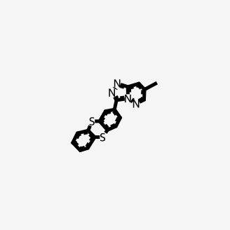 Cc1cnn2c(-c3ccc4c(c3)Sc3ccccc3S4)nnc2c1